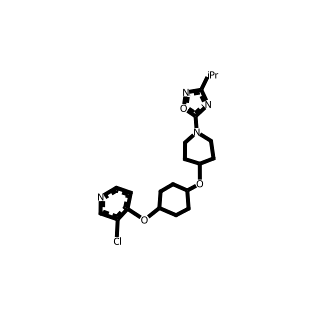 CC(C)c1noc(N2CCC(OC3CCC(Oc4ccncc4Cl)CC3)CC2)n1